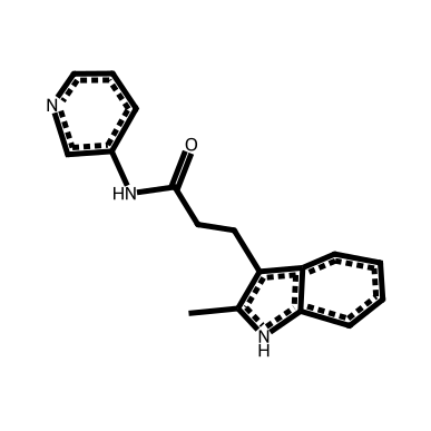 Cc1[nH]c2ccccc2c1CCC(=O)Nc1cccnc1